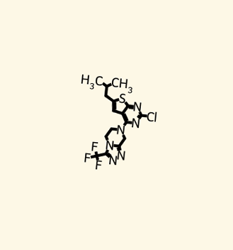 CC(C)Cc1cc2c(N3CCn4c(nnc4C(F)(F)F)C3)nc(Cl)nc2s1